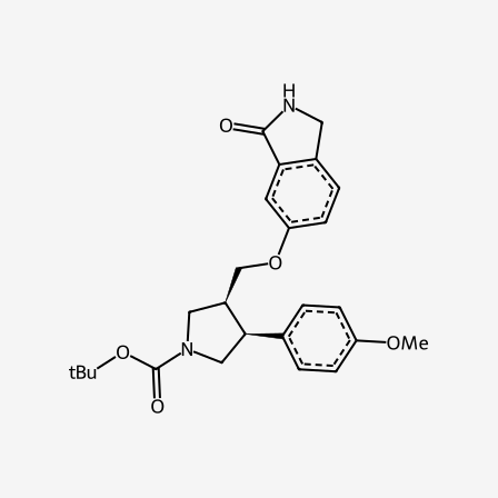 COc1ccc([C@H]2CN(C(=O)OC(C)(C)C)C[C@H]2COc2ccc3c(c2)C(=O)NC3)cc1